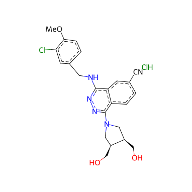 COc1ccc(CNc2nnc(N3C[C@@H](CO)[C@@H](CO)C3)c3ccc(C#N)cc23)cc1Cl.Cl